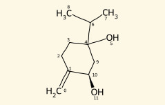 C=C1CCC(O)(C(C)C)C[C@H]1O